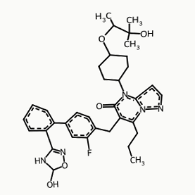 CCCc1c(Cc2ccc(-c3ccccc3C3=NOC(O)N3)cc2F)c(=O)n(C2CCC(OC(C)C(C)(C)O)CC2)c2ccnn12